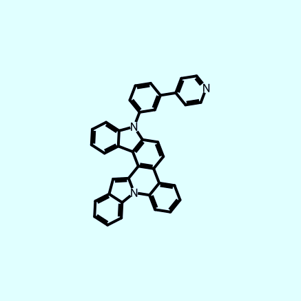 c1cc(-c2ccncc2)cc(-n2c3ccccc3c3c4c(ccc32)c2ccccc2n2c3ccccc3cc42)c1